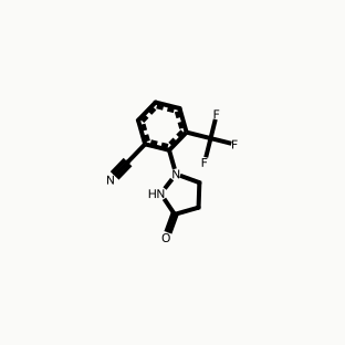 N#Cc1cccc(C(F)(F)F)c1N1CCC(=O)N1